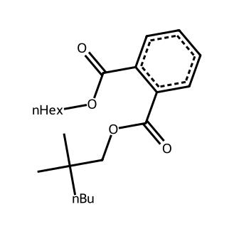 CCCCCCOC(=O)c1ccccc1C(=O)OCC(C)(C)CCCC